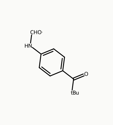 CC(C)(C)C(=O)c1ccc(N[C]=O)cc1